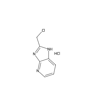 Cl.ClCc1nc2ncccc2[nH]1